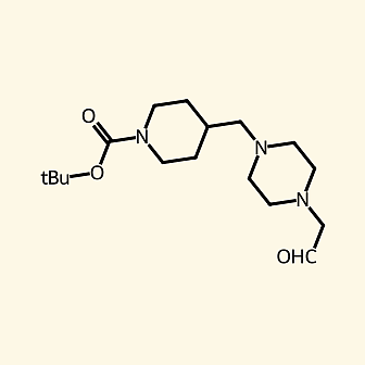 CC(C)(C)OC(=O)N1CCC(CN2CCN(CC=O)CC2)CC1